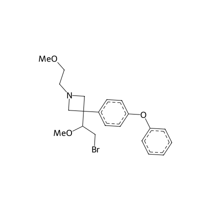 COCCN1CC(c2ccc(Oc3ccccc3)cc2)(C(CBr)OC)C1